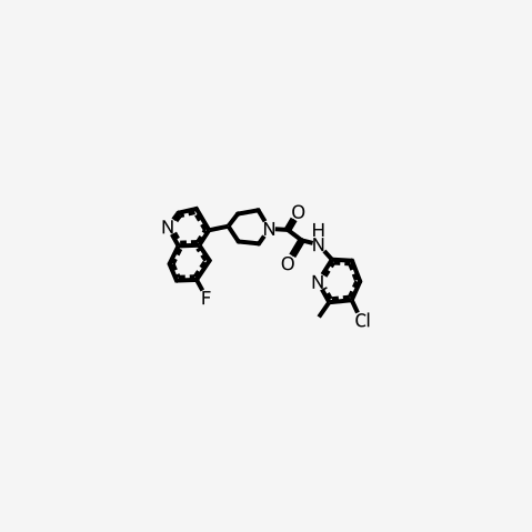 Cc1nc(NC(=O)C(=O)N2CCC(c3ccnc4ccc(F)cc34)CC2)ccc1Cl